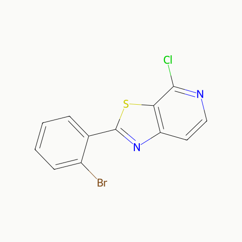 Clc1nccc2nc(-c3ccccc3Br)sc12